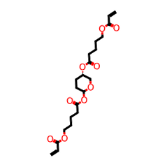 C=CC(=O)OCCCCC(=O)OC1CC[C@H](OC(=O)CCCCOC(=O)C=C)CO1